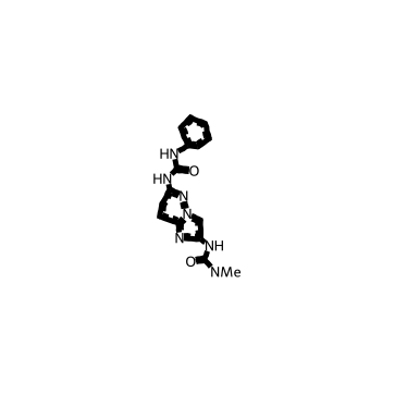 CNC(=O)Nc1cn2nc(NC(=O)Nc3ccccc3)ccc2n1